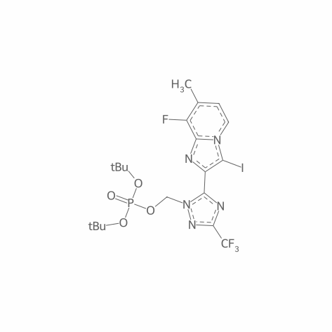 Cc1ccn2c(I)c(-c3nc(C(F)(F)F)nn3COP(=O)(OC(C)(C)C)OC(C)(C)C)nc2c1F